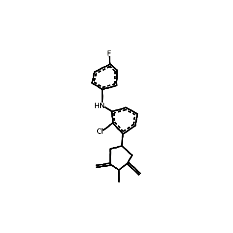 C=C1CC(c2cccc(Nc3ccc(F)cc3)c2Cl)CC(=C)C1C